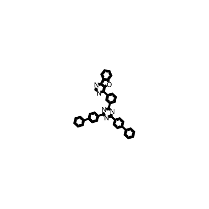 c1ccc(-c2ccc(-c3nc(-c4ccc(-c5ccccc5)cc4)nc(-c4cccc(-c5ncnc6c5oc5ccccc56)c4)n3)cc2)cc1